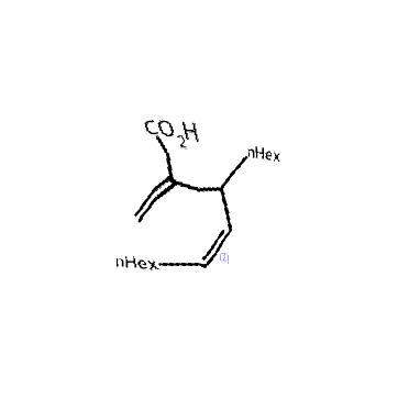 C=C(C(=O)O)C(/C=C\CCCCCC)CCCCCC